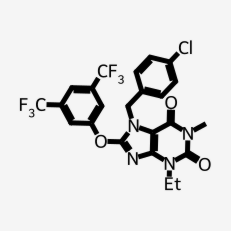 CCn1c(=O)n(C)c(=O)c2c1nc(Oc1cc(C(F)(F)F)cc(C(F)(F)F)c1)n2Cc1ccc(Cl)cc1